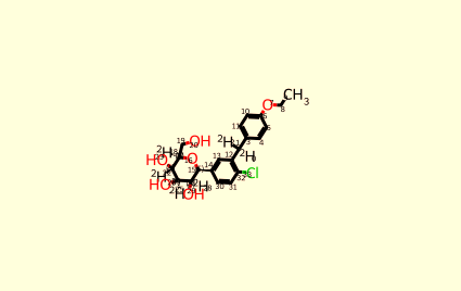 [2H]C([2H])(c1ccc(OCC)cc1)c1cc([C@@H]2O[C@]([2H])(CO)[C@@]([2H])(O)[C@]([2H])(O)[C@@]2([2H])O)ccc1Cl